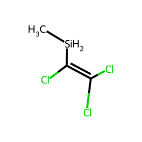 C[SiH2]C(Cl)=C(Cl)Cl